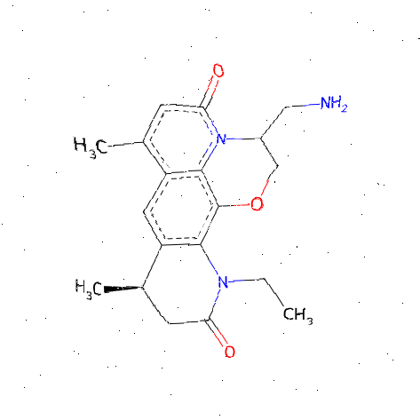 CCN1C(=O)C[C@@H](C)c2cc3c(C)cc(=O)n4c3c(c21)OCC4CN